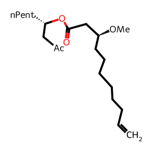 C=CCCCCCC[C@@H](CC(=O)O[C@@H](CCCCC)CC(C)=O)OC